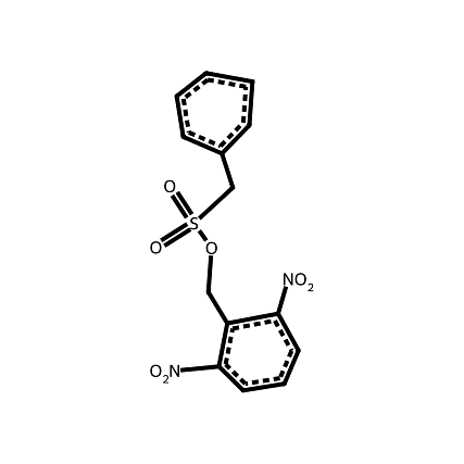 O=[N+]([O-])c1cccc([N+](=O)[O-])c1COS(=O)(=O)Cc1ccccc1